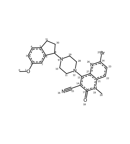 COc1ccc2c(c1)C(N1CCN(c3c(C#N)c(=O)n(C)c4ccc(Br)nc34)CC1)CC2